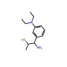 CCN(CC)c1cccc(C(N)C(C)S)c1